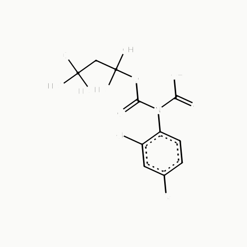 CC(C)(C)CC(C)(C)OC(=O)N(C(=O)O)c1ccc(Br)cc1Cl